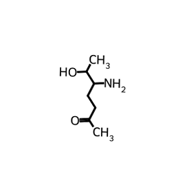 CC(=O)CCC(N)C(C)O